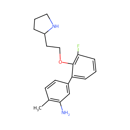 Cc1ccc(-c2cccc(F)c2OCCC2CCCN2)cc1N